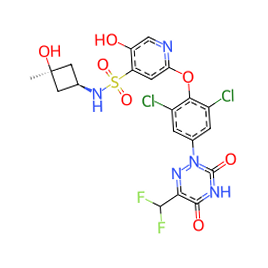 C[C@]1(O)C[C@@H](NS(=O)(=O)c2cc(Oc3c(Cl)cc(-n4nc(C(F)F)c(=O)[nH]c4=O)cc3Cl)ncc2O)C1